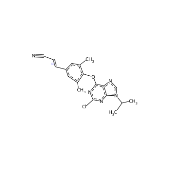 Cc1cc(/C=C/C#N)cc(C)c1Oc1nc(Cl)nc2c1ncn2C(C)C